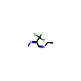 CC/N=C\C(=N/C)C(F)(F)F